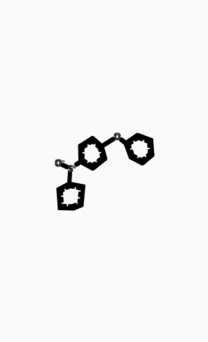 [O-][S+](c1ccccc1)c1ccc(Oc2ccccc2)cc1